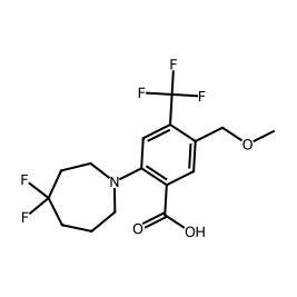 COCc1cc(C(=O)O)c(N2CCCC(F)(F)CC2)cc1C(F)(F)F